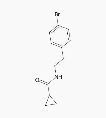 O=C(NCCc1ccc(Br)cc1)C1CC1